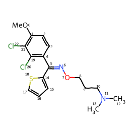 COc1ccc(C(=NOCCCN(C)C)c2cccs2)c(Cl)c1Cl